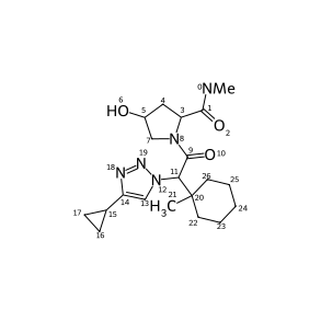 CNC(=O)C1CC(O)CN1C(=O)C(n1cc(C2CC2)nn1)C1(C)CCCCC1